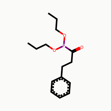 CCCOP(OCCC)C(=O)CCc1ccccc1